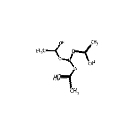 CC(O)OB(OC(C)O)OC(C)O